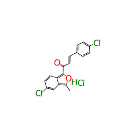 Cc1oc(C(=O)C=Cc2ccc(Cl)cc2)c2ccc(Cl)cc12.Cl